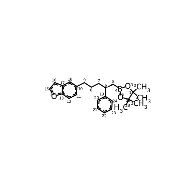 CC1(C)OB(C[C@H](CCCc2ccc3occc3c2)c2ccccc2)OC1(C)C